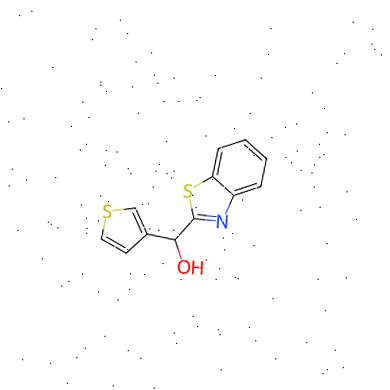 OC(c1ccsc1)c1nc2ccccc2s1